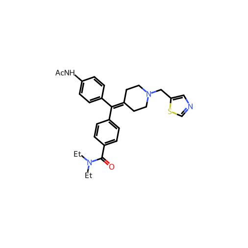 CCN(CC)C(=O)c1ccc(C(=C2CCN(Cc3cncs3)CC2)c2ccc(NC(C)=O)cc2)cc1